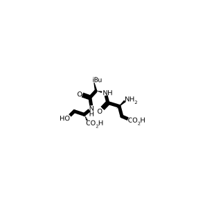 CC[C@H](C)[C@H](NC(=O)[C@@H](N)CC(=O)O)C(=O)N[C@@H](CO)C(=O)O